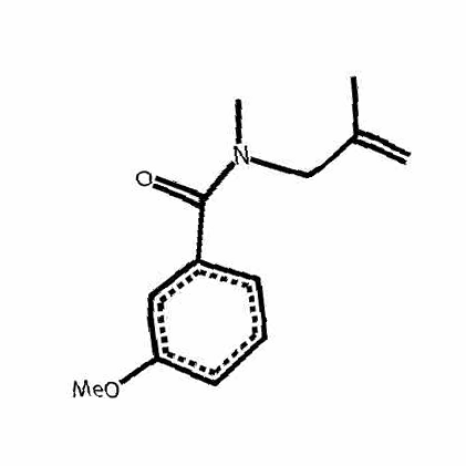 C=C(C)CN(C)C(=O)c1cccc(OC)c1